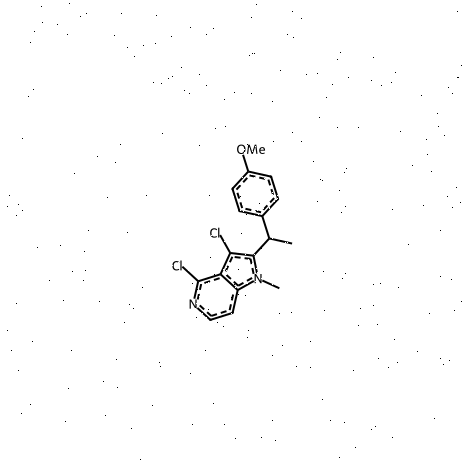 COc1ccc(C(C)c2c(Cl)c3c(Cl)nccc3n2C)cc1